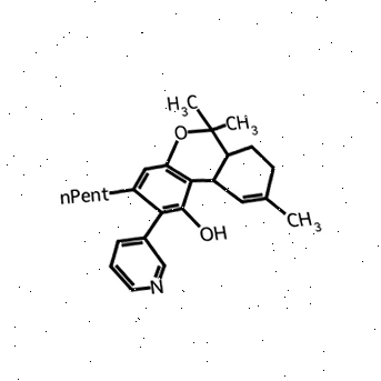 CCCCCc1cc2c(c(O)c1-c1cccnc1)C1C=C(C)CCC1C(C)(C)O2